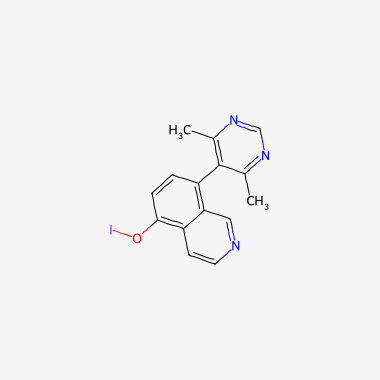 Cc1ncnc(C)c1-c1ccc(OI)c2ccncc12